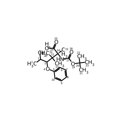 CC(C)C(Oc1ccccc1)C(C)(C)[C@@](C)(NC(=O)OC(C)(C)C)C(=O)O